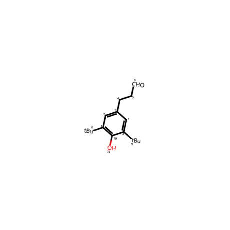 CC(C)(C)c1cc(CCC=O)cc(C(C)(C)C)c1O